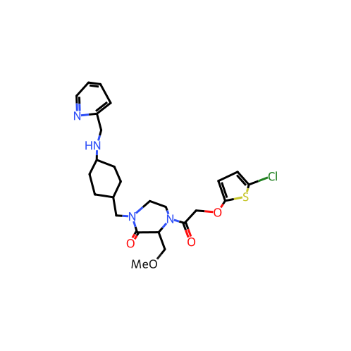 COCC1C(=O)N(CC2CCC(NCc3ccccn3)CC2)CCN1C(=O)COc1ccc(Cl)s1